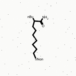 CCCCCCCCCCCCCCCCC(CCCC)C(N)=O